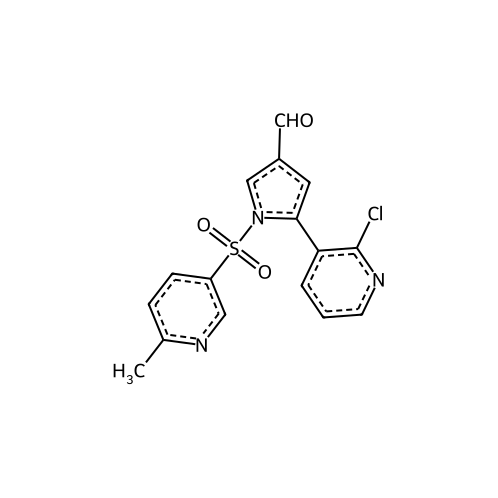 Cc1ccc(S(=O)(=O)n2cc(C=O)cc2-c2cccnc2Cl)cn1